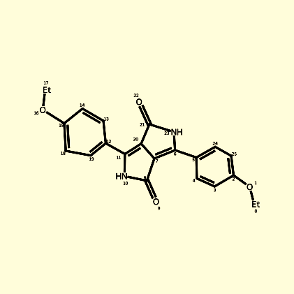 CCOc1ccc(C2=C3C(=O)NC(c4ccc(OCC)cc4)=C3C(=O)N2)cc1